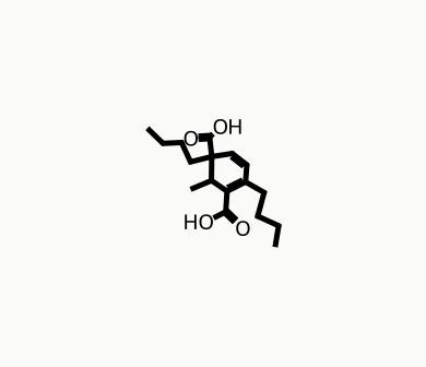 CCCCC1=C(C(=O)O)C(C)C(CCCC)(C(=O)O)C=C1